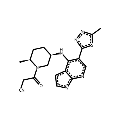 Cc1nnc(-c2cnc3[nH]ccc3c2N[C@@H]2CC[C@H](C)N(C(=O)CC#N)C2)s1